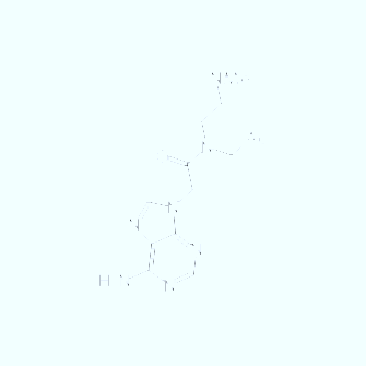 CNCCN(CC(C)=O)C(=O)Cn1cnc2c(N)ncnc21